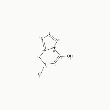 OC1=CN(Cl)CC2=NC=C[N+]12